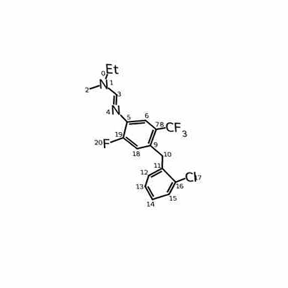 CCN(C)C=Nc1cc(C(F)(F)F)c(Cc2ccccc2Cl)cc1F